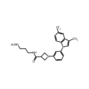 CC(=O)NCCCNC(=O)C1CN(c2cccc(-n3cc(C)c4cc(C(F)(F)F)ccc43)c2)C1